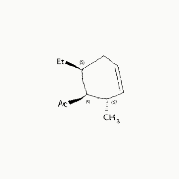 CC[C@H]1CC=C[C@H](C)[C@H]1C(C)=O